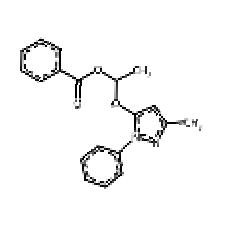 Cc1cc(OC(C)OC(=O)c2ccccc2)n(-c2ccccc2)n1